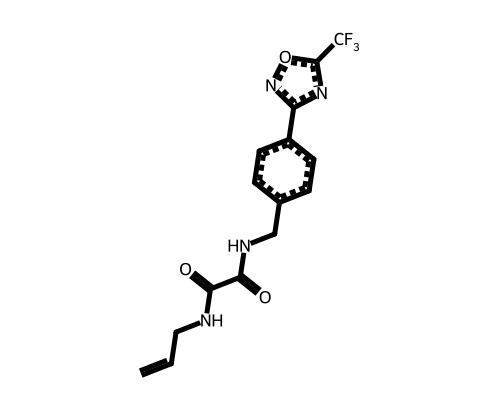 C=CCNC(=O)C(=O)NCc1ccc(-c2noc(C(F)(F)F)n2)cc1